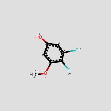 COc1cc(O)cc(F)c1F